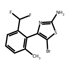 Cc1cccc(C(F)F)c1-c1nc(N)sc1Br